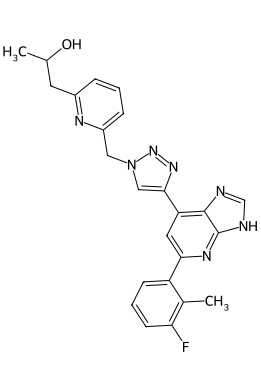 Cc1c(F)cccc1-c1cc(-c2cn(Cc3cccc(CC(C)O)n3)nn2)c2nc[nH]c2n1